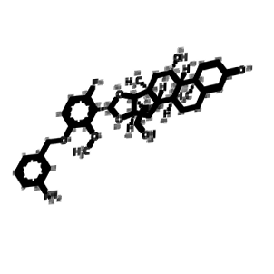 COc1c(OCc2cccc(N)c2)ccc(F)c1[C@H]1O[C@@H]2C[C@H]3[C@@H]4CCC5=CC(=O)C=C[C@]5(C)[C@H]4[C@@H](O)C[C@]3(C)[C@]2(C(=O)CO)O1